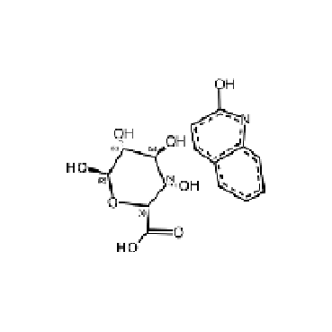 O=C(O)[C@H]1O[C@@H](O)[C@H](O)[C@@H](O)[C@@H]1O.Oc1ccc2ccccc2n1